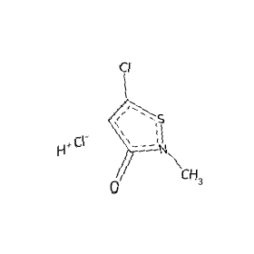 Cn1sc(Cl)cc1=O.[Cl-].[H+]